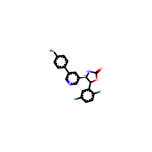 CC(C)(C)c1ccc(-c2cncc([C@H]3NC(=O)OC3c3cc(F)ccc3F)c2)cc1